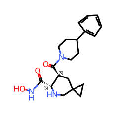 O=C(NO)[C@H]1NCC2(CC2)C[C@@H]1C(=O)N1CCC(c2ccccc2)CC1